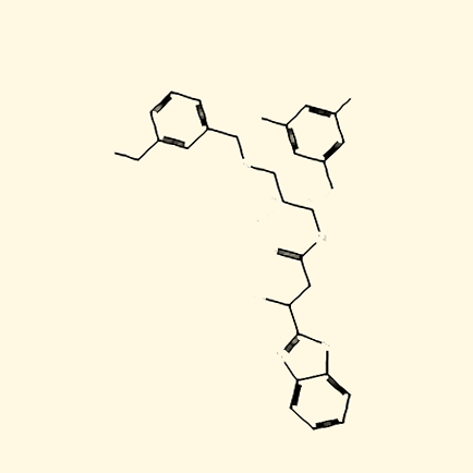 CCc1cccc(CNC[C@@H](O)[C@H](Cc2cc(F)cc(F)c2)NC(=O)CC(O)c2nc3ccccc3[nH]2)c1